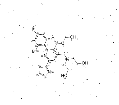 CCOC(=O)C1=C(CN(CCO)CCO)NC(c2nccs2)=NC1c1ccc(F)cc1Br